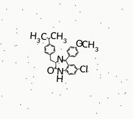 COc1ccc(C2=NC(Cc3ccc(C(C)C)cc3)C(=O)Nc3ccc(Cl)cc32)cc1